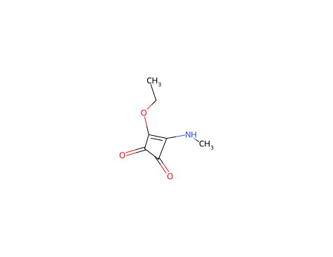 CCOc1c(NC)c(=O)c1=O